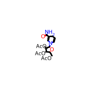 CC(=O)OCC1OC(N2C=CCC(C(N)=O)=C2)[C@H](OC(C)=O)C1OC(C)=O